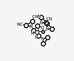 N#Cc1ccc2c(c1)c1cc(C#N)ccc1n2-c1cnc2c(c1)C1(c3cc(-n4c5ccccc5c5ccccc54)cnc3-2)c2cccc(-n3c4ccccc4c4cc(C#N)ccc43)c2Oc2c(-n3c4ccccc4c4ccncc43)cccc21